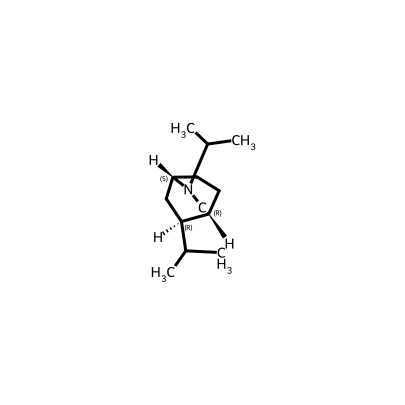 CC(C)[C@H]1C[C@@H]2CC[C@H]1CN2C(C)C